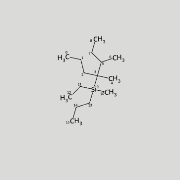 CCCC(C)(C(C)CC)[Si](C)(CC)CCC